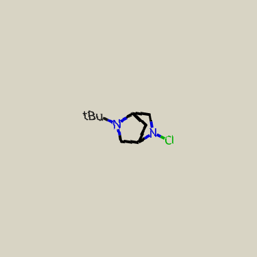 CC(C)(C)N1CC2CC1CN2Cl